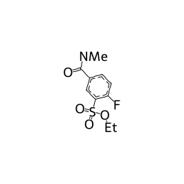 CCOS(=O)(=O)c1cc(C(=O)NC)ccc1F